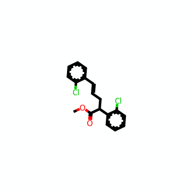 COC(=O)C(CC=Cc1ccccc1Cl)c1ccccc1Cl